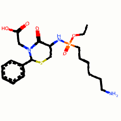 CCOP(=O)(CCCCCCN)NC1CSC(c2ccccc2)N(CC(=O)O)C1=O